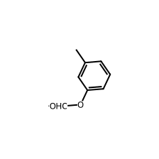 Cc1cccc(O[C]=O)c1